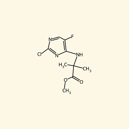 COC(=O)C(C)(C)Nc1nc(Cl)ncc1F